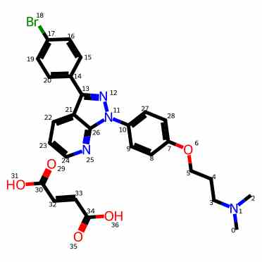 CN(C)CCCOc1ccc(-n2nc(-c3ccc(Br)cc3)c3cccnc32)cc1.O=C(O)C=CC(=O)O